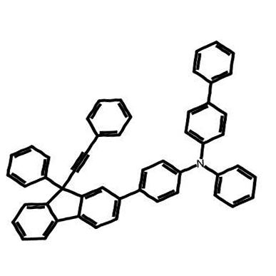 C(#CC1(c2ccccc2)c2ccccc2-c2ccc(-c3ccc(N(c4ccccc4)c4ccc(-c5ccccc5)cc4)cc3)cc21)c1ccccc1